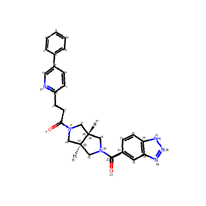 O=C(CCc1ccc(-c2ccccc2)cn1)N1C[C@@H]2CN(C(=O)c3ccc4[nH]nnc4c3)C[C@H]2C1